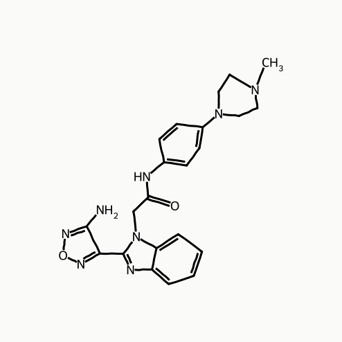 CN1CCN(c2ccc(NC(=O)Cn3c(-c4nonc4N)nc4ccccc43)cc2)CC1